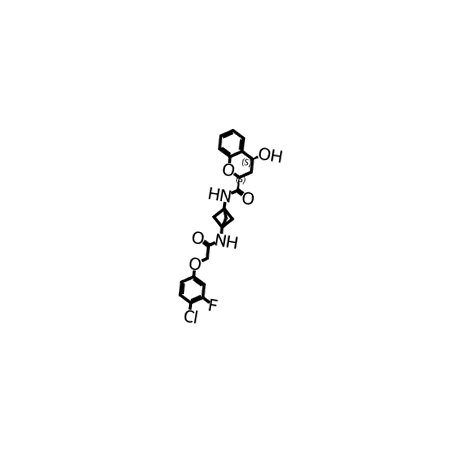 O=C(COc1ccc(Cl)c(F)c1)NC12CC(NC(=O)[C@@H]3C[C@H](O)c4ccccc4O3)(C1)C2